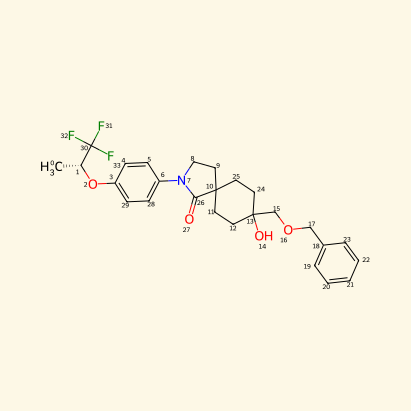 C[C@@H](Oc1ccc(N2CCC3(CCC(O)(COCc4ccccc4)CC3)C2=O)cc1)C(F)(F)F